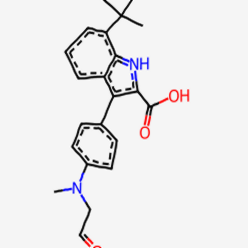 CN(CC=O)c1ccc(-c2c(C(=O)O)[nH]c3c(C(C)(C)C)cccc23)cc1